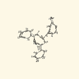 Brc1cccc(-c2cc(-c3ccccc3)nc(-c3ccccc3)c2)c1